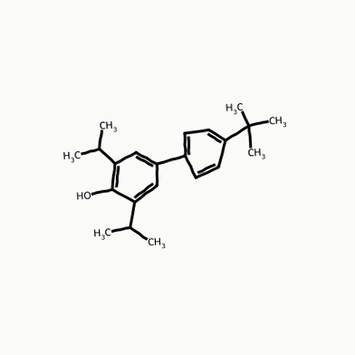 CC(C)c1cc(-c2ccc(C(C)(C)C)cc2)cc(C(C)C)c1O